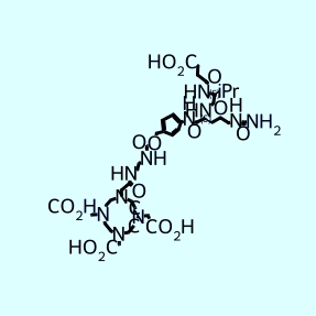 CC(C)[C@H](NC(=O)CCC(=O)O)C(=O)N[C@@H](CCCNC(N)=O)C(=O)Nc1ccc(COC(=O)NCCNC(=O)CN2CCN(CC(=O)O)CCN(CC(=O)O)CCN(CC(=O)O)CC2)cc1